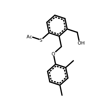 CC(=O)Sc1cccc(CO)c1COc1ccc(C)cc1C